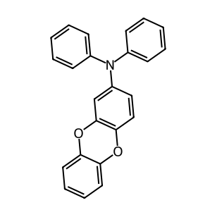 c1ccc(N(c2ccccc2)c2ccc3c(c2)Oc2ccccc2O3)cc1